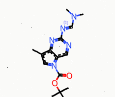 Cc1cn(C(=O)OC(C)(C)C)c2cnc(/N=C/N(C)C)nc12